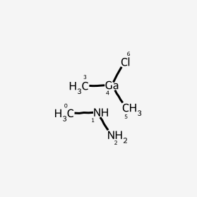 CNN.[CH3][Ga]([CH3])[Cl]